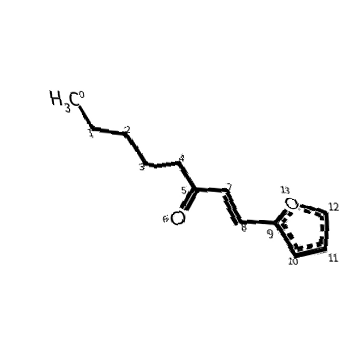 CCCCCC(=O)C=Cc1ccco1